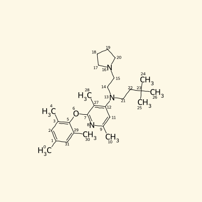 Cc1cc(C)c(Oc2nc(C)cc(N(CCN3CCCC3)CCC(C)(C)C)c2C)c(C)c1